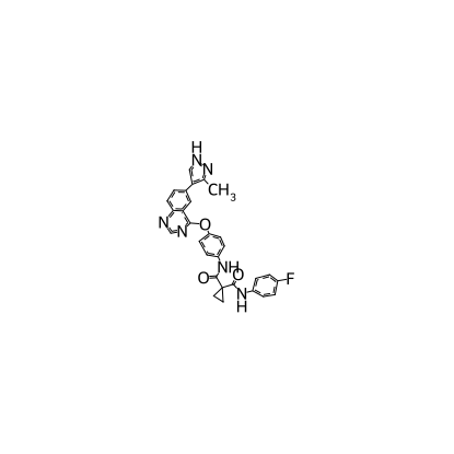 Cc1n[nH]cc1-c1ccc2ncnc(Oc3ccc(NC(=O)C4(C(=O)Nc5ccc(F)cc5)CC4)cc3)c2c1